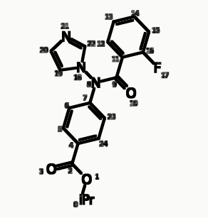 CC(C)OC(=O)c1ccc(N(C(=O)c2ccccc2F)n2ccnc2)cc1